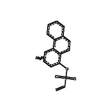 C=CS(=O)(=O)Oc1cccc2c1ccc1ccccc12.[MgH2]